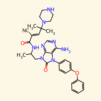 CC(Cn1c(=O)n(-c2ccc(Oc3ccccc3)cc2)c2c(N)ncnc21)NC(=O)C(C#N)=CC(C)(C)N1CCNCC1